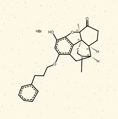 Br.CN1CC[C@]23c4c5c(OCCCc6ccccc6)cc(O)c4O[C@@]2(C)C(=O)CC[C@H]3[C@H]1C5